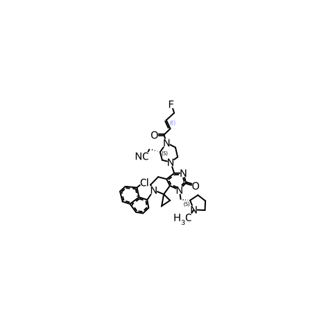 CN1CCC[C@H]1Cn1c2c(c(N3CCN(C(=O)/C=C/CF)[C@@H](CC#N)C3)nc1=O)CCN(c1cccc3cccc(Cl)c13)C21CC1